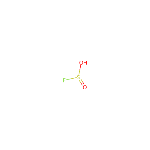 O=S(O)F